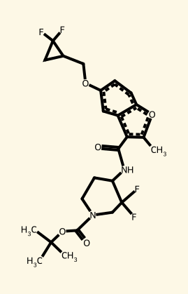 Cc1oc2ccc(OCC3CC3(F)F)cc2c1C(=O)NC1CCN(C(=O)OC(C)(C)C)CC1(F)F